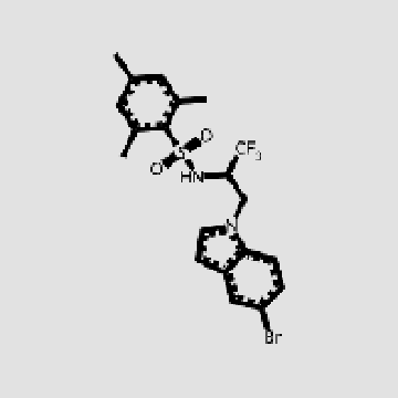 Cc1cc(C)c(S(=O)(=O)NC(Cn2ccc3cc(Br)ccc32)C(F)(F)F)c(C)c1